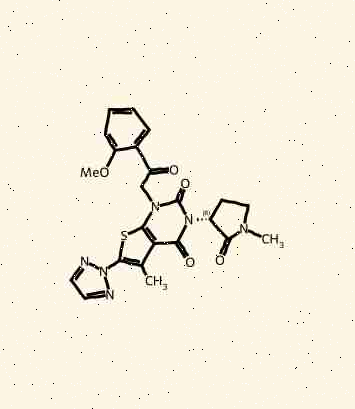 COc1ccccc1C(=O)Cn1c(=O)n([C@@H]2CCN(C)C2=O)c(=O)c2c(C)c(-n3nccn3)sc21